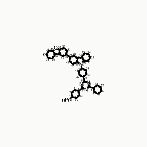 CCCc1ccc(-c2nc(-c3ccccc3)nc(-c3ccc(-n4c5ccccc5c5cc(-c6ccc7oc8ccccc8c7c6)ccc54)cc3)n2)cc1